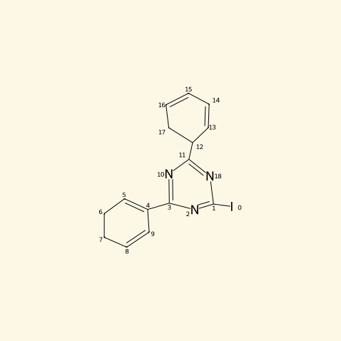 Ic1nc(C2=CCCC=C2)nc(C2C=CC=CC2)n1